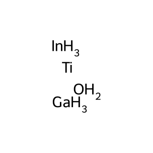 O.[GaH3].[InH3].[Ti]